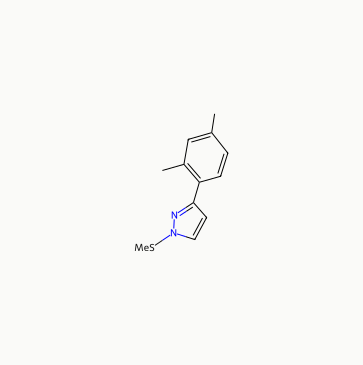 CSn1ccc(-c2ccc(C)cc2C)n1